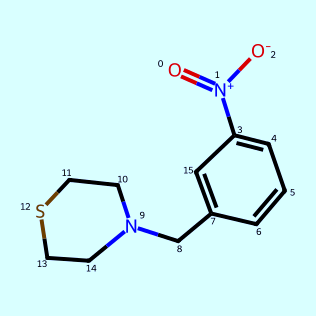 O=[N+]([O-])c1cccc(CN2CCSCC2)c1